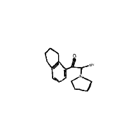 CCCC(C(=O)c1cccc2c1CCCC2)N1CCCC1